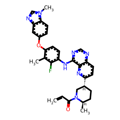 C=CC(=O)N1C[C@H](c2ccc3ncnc(Nc4ccc(Oc5ccc6c(c5)ncn6C)c(C)c4F)c3n2)CC[C@H]1C